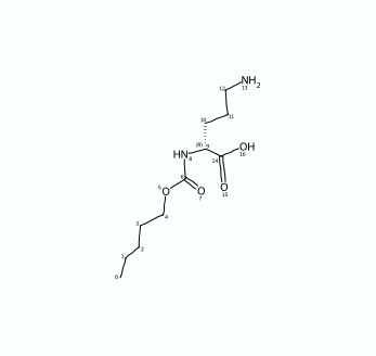 CCCCCOC(=O)N[C@H](CCCN)C(=O)O